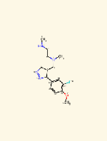 CNCCN(C)CC1CN=NC1c1ccc(OC)c(F)c1